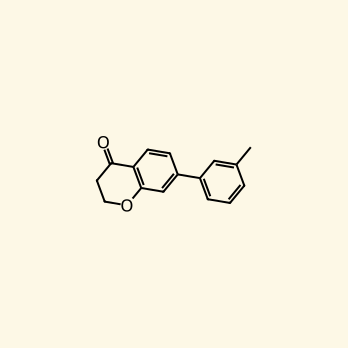 Cc1cccc(-c2ccc3c(c2)OCCC3=O)c1